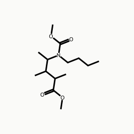 CCCCN(C(=O)OC)C(C)C(C)C(C)C(=O)OC